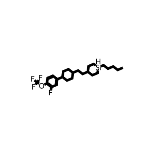 CCCCC[SiH]1CCC(CCC2CCC(c3ccc(OC(F)(F)F)c(F)c3)CC2)CC1